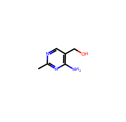 Cc1ncc(CO)c(N)n1